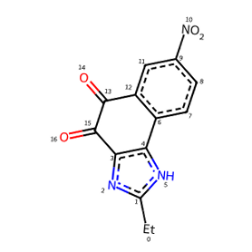 CCc1nc2c([nH]1)-c1ccc([N+](=O)[O-])cc1C(=O)C2=O